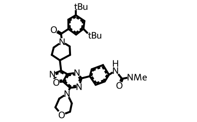 CNC(=O)Nc1ccc(-c2nc(N3CCOCC3)c3onc(C4CCN(C(=O)c5cc(C(C)(C)C)cc(C(C)(C)C)c5)CC4)c3n2)cc1